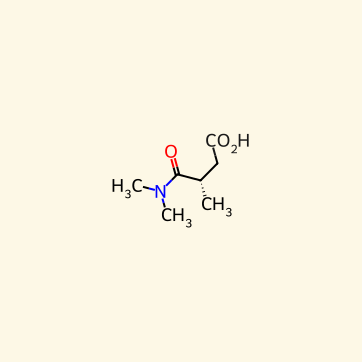 C[C@@H](CC(=O)O)C(=O)N(C)C